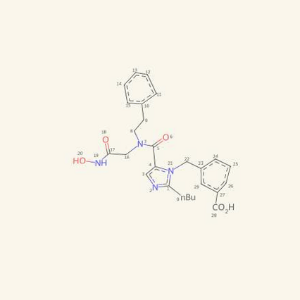 CCCCc1ncc(C(=O)N(CCc2ccccc2)CC(=O)NO)n1Cc1cccc(C(=O)O)c1